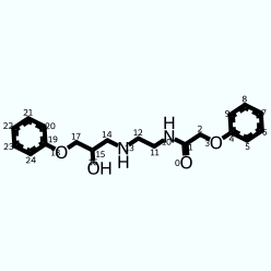 O=C(COc1ccccc1)NCCNCC(O)COc1ccccc1